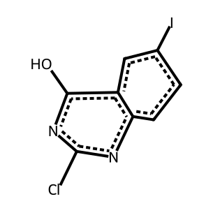 Oc1nc(Cl)nc2ccc(I)cc12